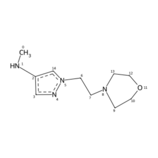 CNc1cnn(CCN2CCOCC2)c1